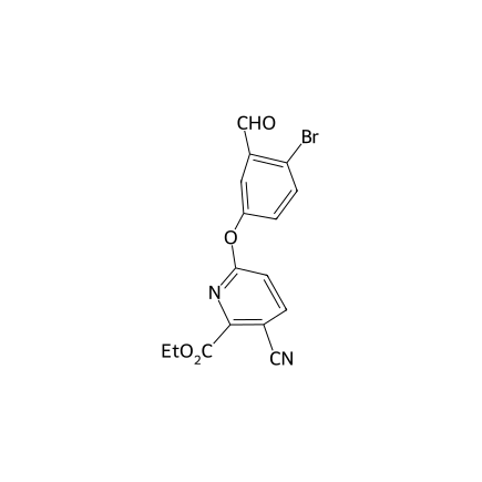 CCOC(=O)c1nc(Oc2ccc(Br)c(C=O)c2)ccc1C#N